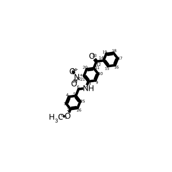 COc1ccc(CNc2ccc(C(=O)c3ccccc3)cc2[N+](=O)[O-])cc1